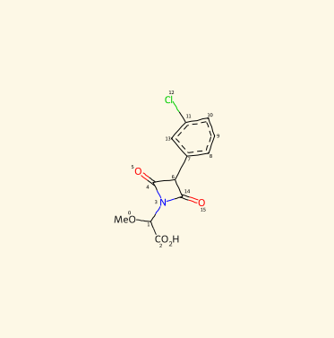 COC(C(=O)O)N1C(=O)C(c2cccc(Cl)c2)C1=O